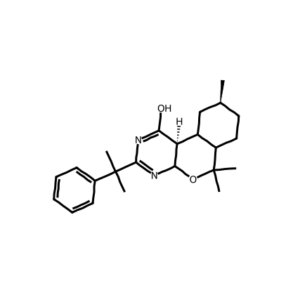 C[C@H]1CCC2C(C1)[C@@H]1C(O)=NC(C(C)(C)c3ccccc3)=NC1OC2(C)C